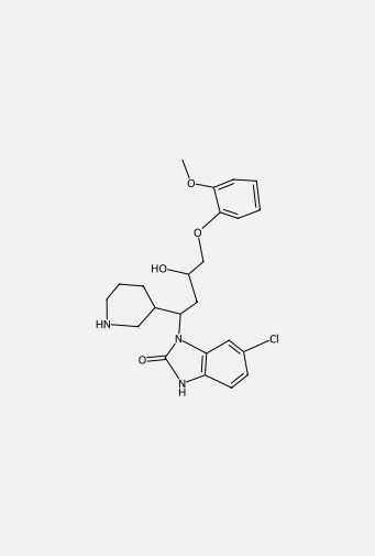 COc1ccccc1OCC(O)CC(C1CCCNC1)n1c(=O)[nH]c2ccc(Cl)cc21